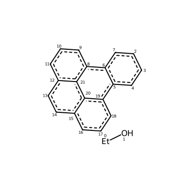 CCO.c1ccc2c(c1)c1cccc3ccc4cccc2c4c31